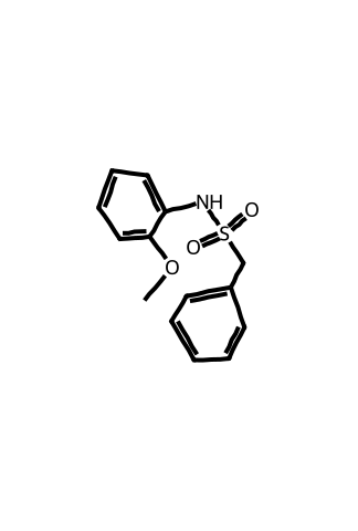 COc1ccccc1NS(=O)(=O)Cc1ccccc1